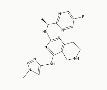 C[C@H](Nc1nc2c(c(Nc3cn(C)cn3)n1)CNCC2)c1ncc(F)cn1